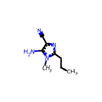 CCCc1nc(C#N)c(N)n1C